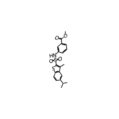 COC(=O)c1cccc(NS(=O)(=O)c2sc3ccc(C(C)C)cc3c2C)c1